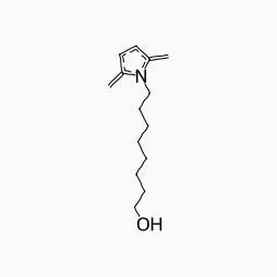 C=c1ccc(=C)n1CCCCCCCCO